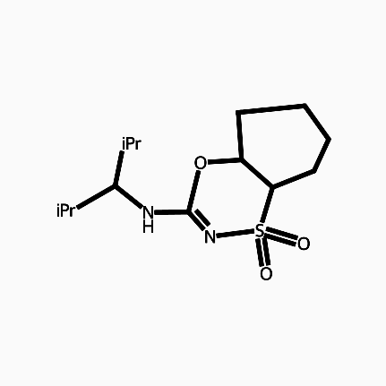 CC(C)C(NC1=NS(=O)(=O)C2CCCCC2O1)C(C)C